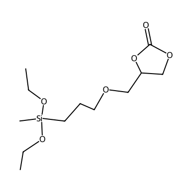 CCO[Si](C)(CCCOCC1COC(=O)O1)OCC